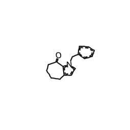 O=C1CCCCc2ccn(Cc3ccccc3)c21